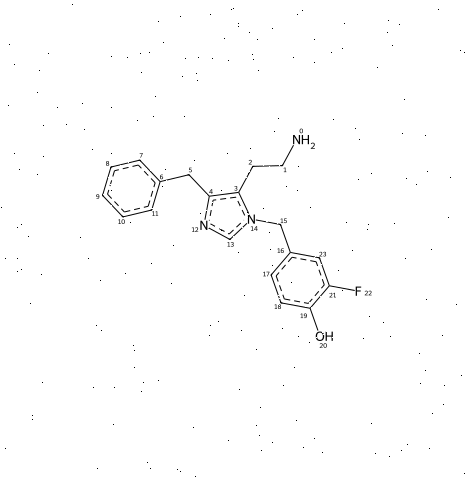 NCCc1c(Cc2ccccc2)ncn1Cc1ccc(O)c(F)c1